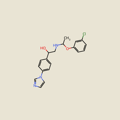 CC(NCC(O)c1ccc(-n2ccnc2)cc1)Oc1cccc(Cl)c1